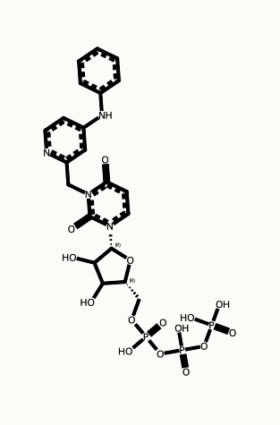 O=c1ccn([C@@H]2O[C@H](COP(=O)(O)OP(=O)(O)OP(=O)(O)O)C(O)C2O)c(=O)n1Cc1cc(Nc2ccccc2)ccn1